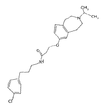 CC(C)N1CCc2ccc(OCCC(=O)NCCCc3ccc(Cl)cc3)cc2CC1